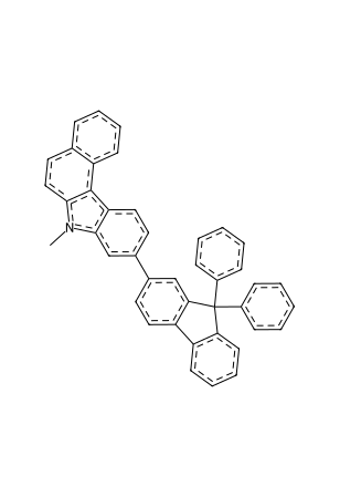 Cn1c2cc(-c3ccc4c(c3)C(c3ccccc3)(c3ccccc3)c3ccccc3-4)ccc2c2c3ccccc3ccc21